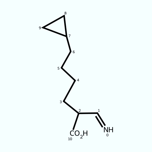 N=CC(CCCCC1CC1)C(=O)O